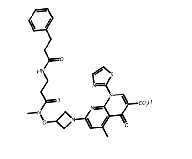 Cc1cc(N2CC(ON(C)C(=O)CCNC(=O)CCc3ccccc3)C2)nc2c1c(=O)c(C(=O)O)cn2-c1nccs1